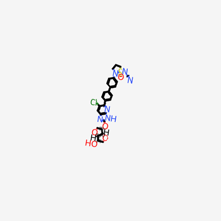 N#CN=S1(=O)CCCN1c1ccc(-c2ccc(-c3nc4[nH]c(O[C@@H]5CO[C@H]6[C@@H]5OC[C@H]6O)nc4cc3Cl)cc2)cc1